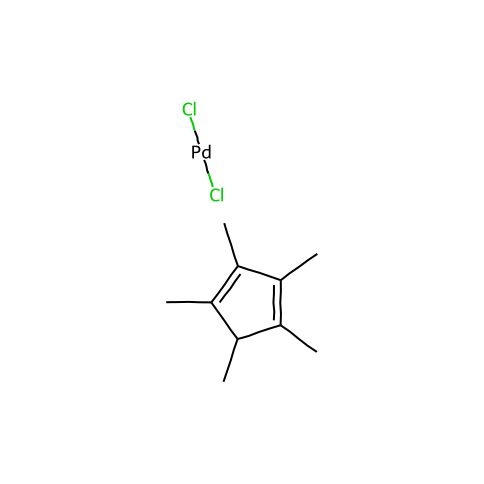 CC1=C(C)C(C)C(C)=C1C.[Cl][Pd][Cl]